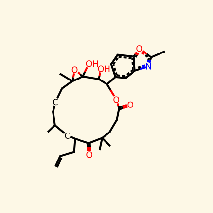 C=CCC1CC(C)CCCC2(C)OC2(O)C(O)C(c2ccc3oc(C)nc3c2)OC(=O)CCC(C)(C)C1=O